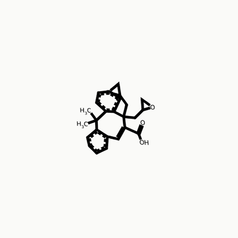 CC1(C)c2ccccc2/C=C(/C(=O)O)C(CC2CO2)(CC2CO2)c2ccccc21